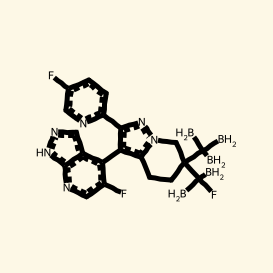 BC(B)(B)C1(C(B)(B)F)CCc2c(-c3c(F)cnc4[nH]ncc34)c(-c3ccc(F)cn3)nn2C1